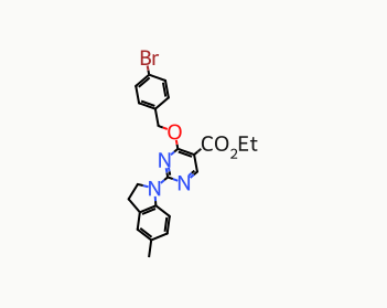 CCOC(=O)c1cnc(N2CCc3cc(C)ccc32)nc1OCc1ccc(Br)cc1